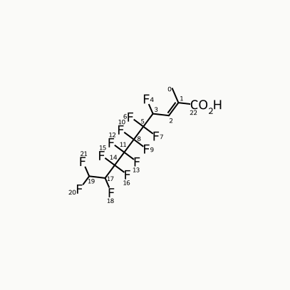 CC(=CC(F)C(F)(F)C(F)(F)C(F)(F)C(F)(F)C(F)C(F)F)C(=O)O